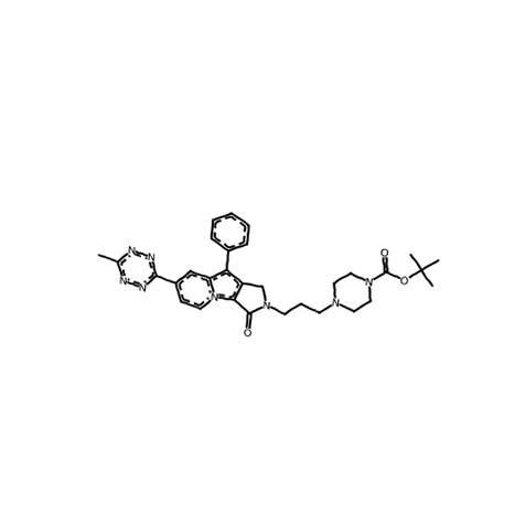 Cc1nnc(-c2ccn3c4c(c(-c5ccccc5)c3c2)CN(CCCN2CCN(C(=O)OC(C)(C)C)CC2)C4=O)nn1